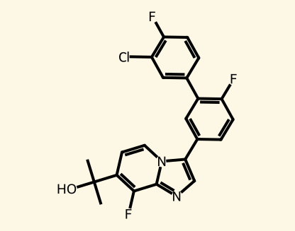 CC(C)(O)c1ccn2c(-c3ccc(F)c(-c4ccc(F)c(Cl)c4)c3)cnc2c1F